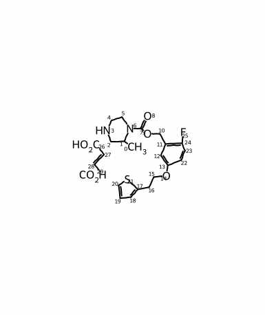 CC1CNCCN1C(=O)OCc1cc(OCCc2cccs2)ccc1F.O=C(O)C=CC(=O)O